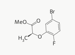 COC(=O)[C@H](C)Oc1cc(Br)ccc1F